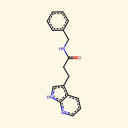 O=C([CH]Cc1c[nH]c2ncccc12)NCc1ccccc1